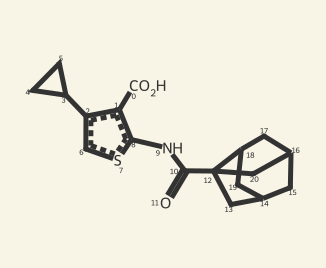 O=C(O)c1c(C2CC2)csc1NC(=O)C12CC3CC(CC1C3)C2